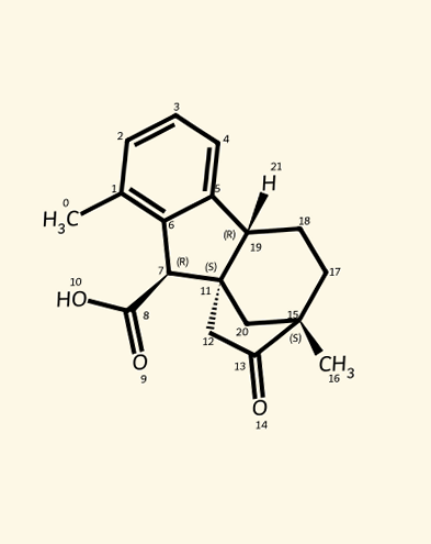 Cc1cccc2c1[C@H](C(=O)O)[C@@]13CC(=O)[C@@](C)(CC[C@@H]21)C3